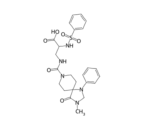 CN1CN(c2ccccc2)C2(CCN(C(=O)NCC(NS(=O)(=O)c3ccccc3)C(=O)O)CC2)C1=O